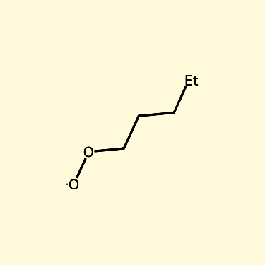 [CH2]CCCCO[O]